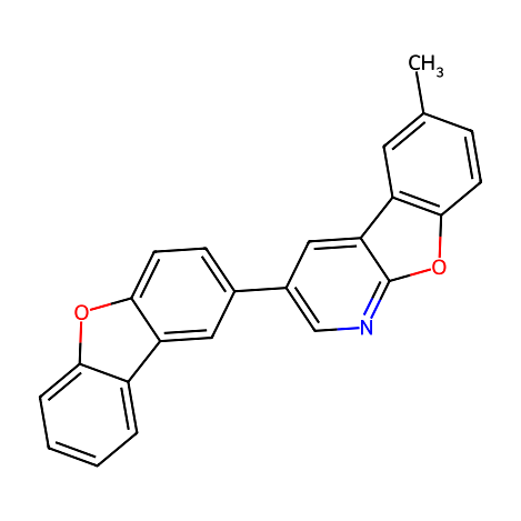 Cc1ccc2oc3ncc(-c4ccc5oc6ccccc6c5c4)cc3c2c1